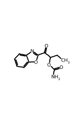 CCC(OC(N)=O)C(=O)c1nc2ccccc2o1